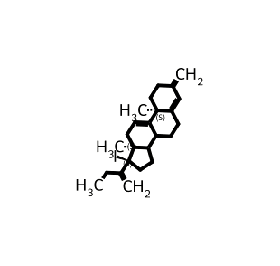 C=C1C=C2CCC3C(=CC[C@@]4(C)C3CC[C@]4(I)C(=C)CC)[C@@]2(C)CC1